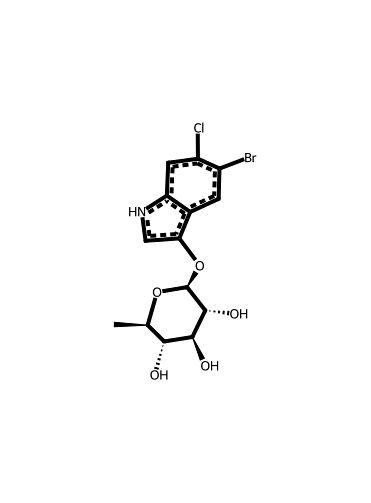 C[C@H]1O[C@@H](Oc2c[nH]c3cc(Cl)c(Br)cc23)[C@H](O)[C@@H](O)[C@@H]1O